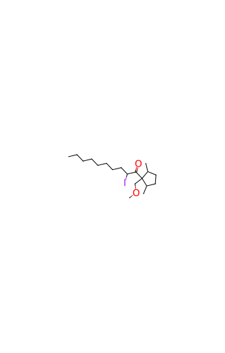 CCCCCCCCC(I)C(=O)C1(COC)C(C)CCC1C